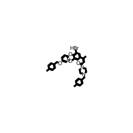 Br.CC(=CC(=O)N1CCN(Cc2ccc(C)cc2)CC1)c1cc(C)c(Oc2ccc(OCc3ccc(C)cc3)cn2)c(Cl)c1